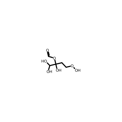 O=COC(O)(CCOO)C(O)O